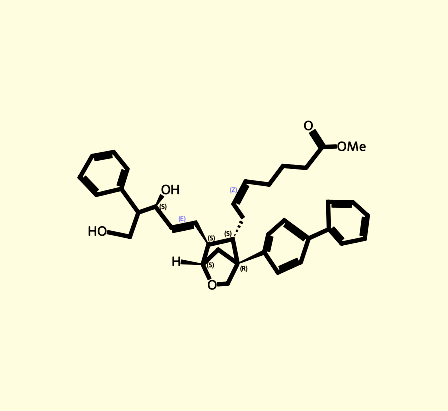 COC(=O)CCC/C=C\C[C@H]1[C@H](/C=C/[C@H](O)C(CO)c2ccccc2)[C@@H]2C[C@@]1(c1ccc(-c3ccccc3)cc1)CO2